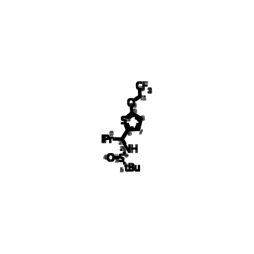 CC(C)C(N[S@@+]([O-])C(C)(C)C)c1ccc(OCC(F)(F)F)s1